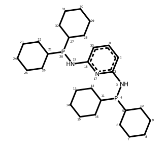 c1cc(NP(C2CCCCC2)C2CCCCC2)nc(NP(C2CCCCC2)C2CCCCC2)c1